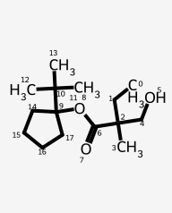 CCC(C)(CO)C(=O)OC1(C(C)(C)C)CCCC1